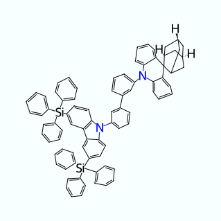 c1ccc([Si](c2ccccc2)(c2ccccc2)c2ccc3c(c2)c2cc([Si](c4ccccc4)(c4ccccc4)c4ccccc4)ccc2n3-c2cccc(-c3cccc(N4c5ccccc5C5(c6ccccc64)C4C[C@H]6C[C@@H](C4)C[C@@H]5C6)c3)c2)cc1